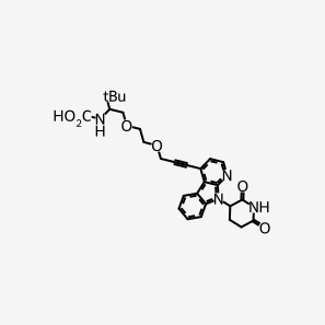 CC(C)(C)C(COCCOCC#Cc1ccnc2c1c1ccccc1n2C1CCC(=O)NC1=O)NC(=O)O